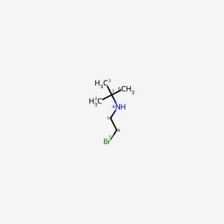 CC(C)(C)NCCBr